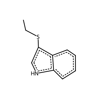 CCSc1c[nH]c2ccccc12